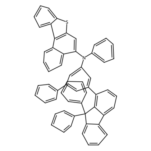 c1ccc(-c2cc(-c3cccc4c3C(c3ccccc3)(c3ccccc3)c3ccccc3-4)cc(N(c3ccccc3)c3cc4sc5ccccc5c4c4ccccc34)c2)cc1